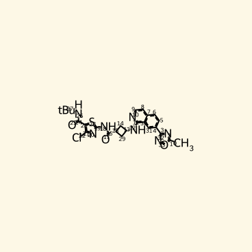 Cc1nc(-c2ccc3ccnc(N[C@H]4C[C@@H](C(=O)Nc5nc(Cl)c(C(=O)NC(C)(C)C)s5)C4)c3c2)no1